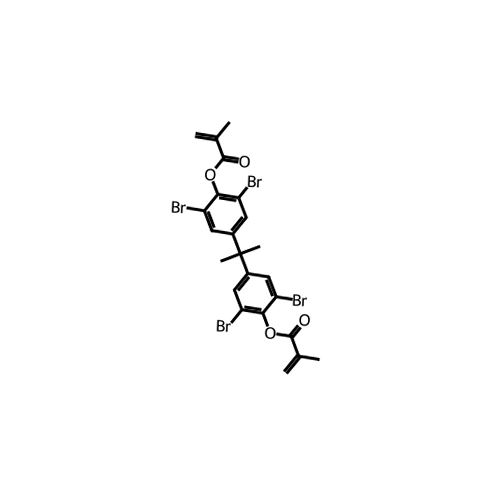 C=C(C)C(=O)Oc1c(Br)cc(C(C)(C)c2cc(Br)c(OC(=O)C(=C)C)c(Br)c2)cc1Br